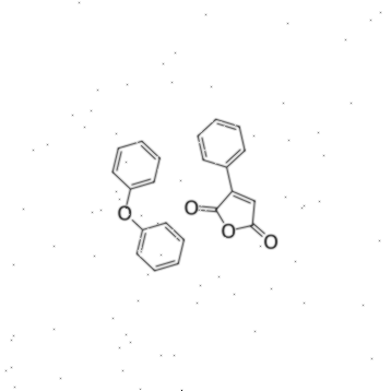 O=C1C=C(c2ccccc2)C(=O)O1.c1ccc(Oc2ccccc2)cc1